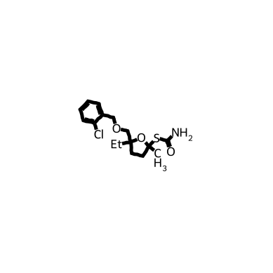 CCC1(COCc2ccccc2Cl)CCC(C)(SC(N)=O)O1